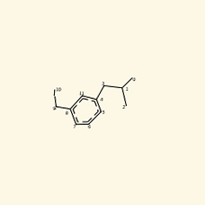 CC(C)Cc1cccc([CH]I)c1